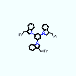 CC(C)Cc1cn(-c2cc(N3CC(CC(C)C)c4ccccc43)cc(-n3cc(CC(C)C)c4ccccc43)c2)c2ccccc12